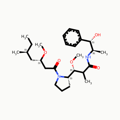 CC[C@H](C)C[C@@H](CC(=O)N1CCC[C@H]1[C@H](OC)C(C)C(=O)N[C@H](C)[C@@H](O)c1ccccc1)OC